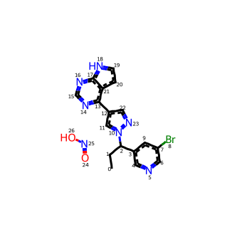 CCC(c1cncc(Br)c1)n1cc(-c2ncnc3[nH]ccc23)cn1.O=NO